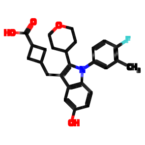 Cc1cc(-n2c(C3CCOCC3)c(CC3CC(C(=O)O)C3)c3cc(O)ccc32)ccc1F